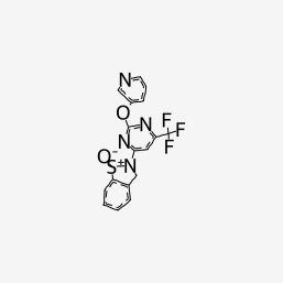 [O-][S+]1c2ccccc2CN1c1cc(C(F)(F)F)nc(Oc2cccnc2)n1